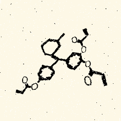 C=CC(=O)Oc1ccc(/C(=C2\CCCC(C)C2)c2ccc(OC(=O)C=C)c(OC(=O)C=C)c2)cc1